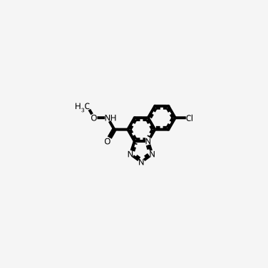 CONC(=O)c1cc2ccc(Cl)cc2n2nnnc12